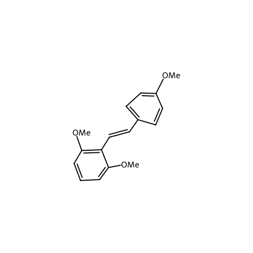 COc1ccc(/C=C/c2c(OC)cccc2OC)cc1